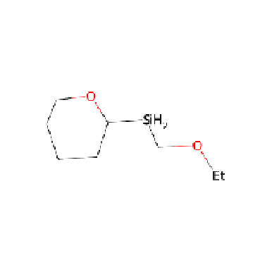 CCOC[SiH2]C1CCCCO1